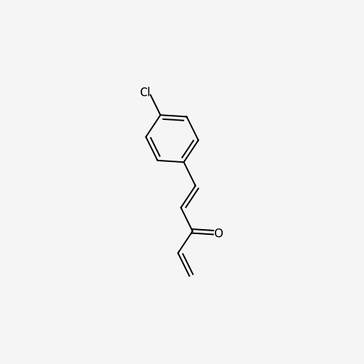 C=CC(=O)C=Cc1ccc(Cl)cc1